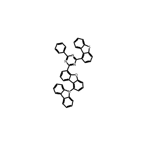 c1ccc(-c2nc(-c3cccc4c3oc3cccc(-n5c6ccccc6c6ccccc65)c34)nc(-c3cccc4sc5ccccc5c34)n2)cc1